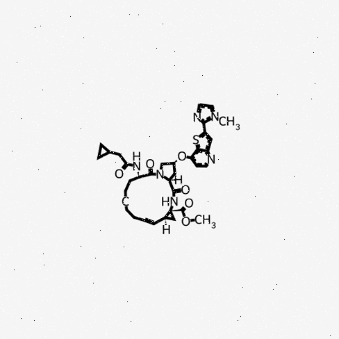 COC(=O)[C@@]12C[C@H]1/C=C\CCCCC[C@H](NC(=O)CC1CC1)C(=O)N1C[C@H](Oc3ccnc4cc(-c5nccn5C)sc34)C[C@H]1C(=O)N2